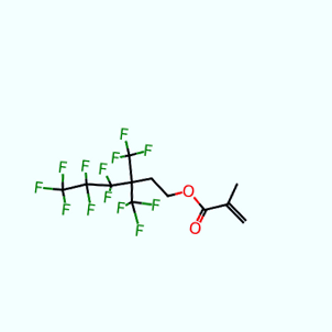 C=C(C)C(=O)OCCC(C(F)(F)F)(C(F)(F)F)C(F)(F)C(F)(F)C(F)(F)F